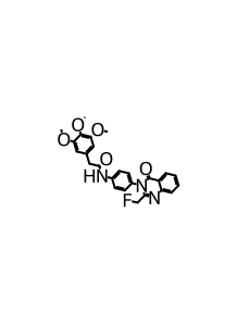 COc1cc(CC(=O)Nc2ccc(-n3c(CF)nc4ccccc4c3=O)cc2)cc(OC)c1OC